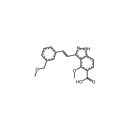 COCc1cccc(C=Cc2n[nH]c3ccc(C(=O)O)c(OC)c23)c1